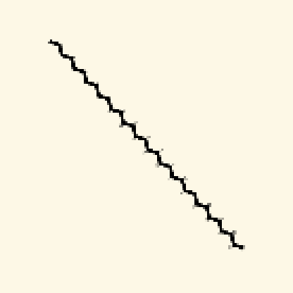 CCCCCCCCCC[CH]CCCCCCCCCCCCCCCCCCCCC